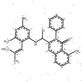 CCC(Nc1nc(N)nc(C)c1/C=C(/C)C(=O)O)c1nc2cccc(C)c2c(=O)n1-c1ccccc1